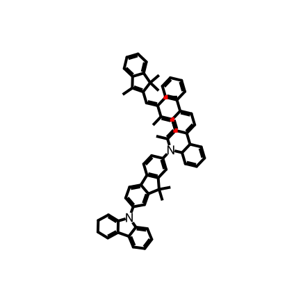 CCC(=C\C1=C(C)c2ccccc2C1(C)C)/C(C)=C/C=C(\C)N(c1ccc2c(c1)C(C)(C)c1cc(-n3c4c(c5ccccc53)=CCCC=4)ccc1-2)C1C=CC=CC1c1ccc(-c2ccccc2)cc1